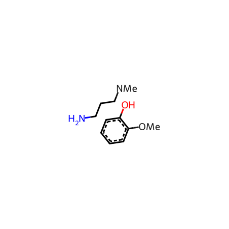 CNCCCN.COc1ccccc1O